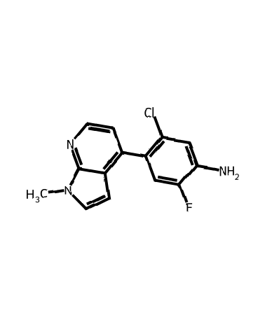 Cn1ccc2c(-c3cc(F)c(N)cc3Cl)ccnc21